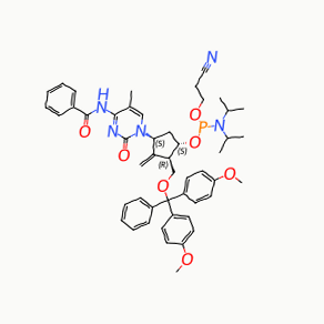 C=C1[C@H](COC(c2ccccc2)(c2ccc(OC)cc2)c2ccc(OC)cc2)[C@@H](OP(OCCC#N)N(C(C)C)C(C)C)C[C@@H]1n1cc(C)c(NC(=O)c2ccccc2)nc1=O